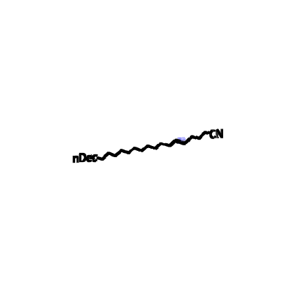 CCCCCCCCCCCCCCCCCCCCC/C=C/CCCC#N